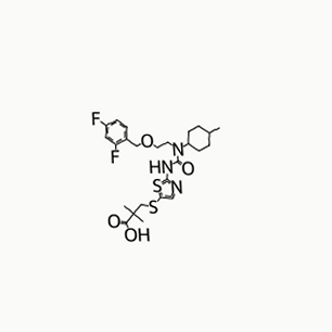 CC1CCC(N(CCOCc2ccc(F)cc2F)C(=O)Nc2ncc(SCC(C)(C)C(=O)O)s2)CC1